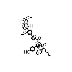 CCCCC[C@@H](C(=O)NCNC(=O)c1ccc(-c2ccc(C(=O)N[C@@H](CC(=O)O)C(=O)O)c(OCC)c2)o1)[C@@H](CC)N(C=O)OC(=O)c1ccc(O)cc1